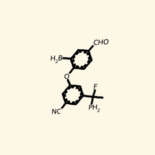 Bc1cc(C=O)ccc1Oc1cc(C#N)cc(C(C)(F)P)c1